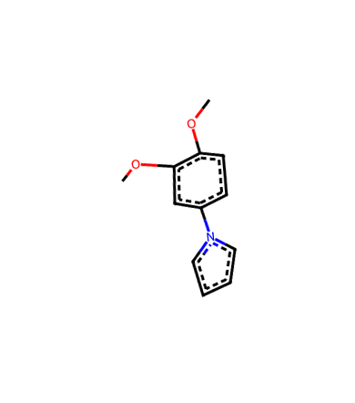 COc1ccc(-n2cccc2)cc1OC